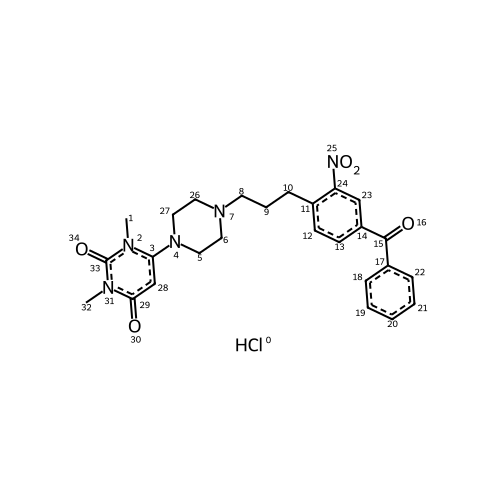 Cl.Cn1c(N2CCN(CCCc3ccc(C(=O)c4ccccc4)cc3[N+](=O)[O-])CC2)cc(=O)n(C)c1=O